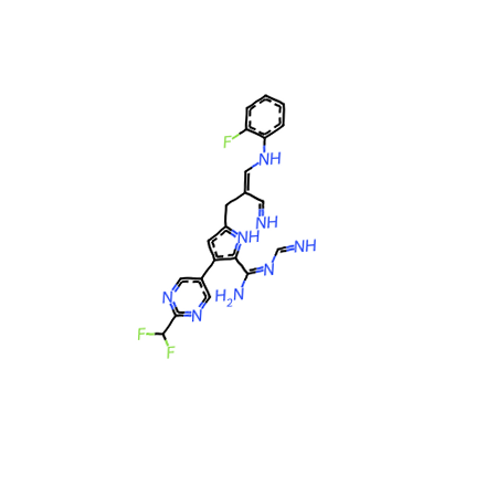 N=C/N=C(/N)c1[nH]c(C/C(C=N)=C/Nc2ccccc2F)cc1-c1cnc(C(F)F)nc1